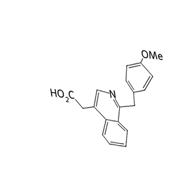 COc1ccc(Cc2ncc(CC(=O)O)c3ccccc23)cc1